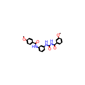 COc1ccc(C(=O)Nc2cccc(NC(=O)NC(=O)c3cccc(OC)c3)c2)cc1